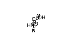 COc1cc2c(cc1C1=CCN(C(O)OC(C)(C)C)CC1)C(=O)c1c([nH]c3cc(C#N)ccc13)C2(C)C